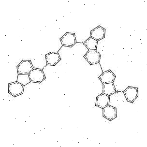 c1ccc(-n2c3ccc(-c4ccc5c(c4)c4ccccc4n5-c4cccc(-c5ccc(-c6ccc7c8c(cccc68)-c6ccccc6-7)cc5)c4)cc3c3ccc4ccccc4c32)cc1